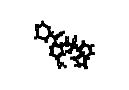 Cc1ccc(C(=O)N2CCOCC2)c(NS(=O)(=O)c2cccc3nsnc23)c1